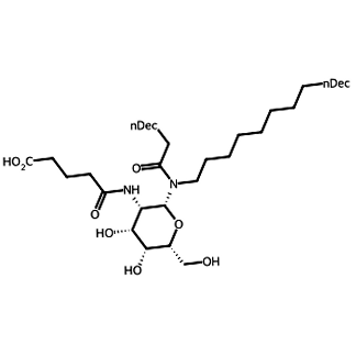 CCCCCCCCCCCCCCCCCCN(C(=O)CCCCCCCCCCC)[C@@H]1O[C@H](CO)[C@H](O)[C@H](O)[C@@H]1NC(=O)CCCC(=O)O